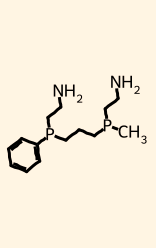 CP(CCN)CCCP(CCN)c1ccccc1